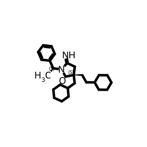 C[C@@H](c1ccccc1)N1C(=N)C[C@](CCC2CCCCC2)(CC2CCCCC2)C1=O